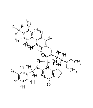 [2H]c1c([2H])c(C([2H])([2H])Sc2nc(=O)c3c(n2C([2H])([2H])C(=O)N(Cc2c([2H])c([2H])c(-c4c([2H])c([2H])c(C(F)(F)F)c(C)c4[2H])c([2H])c2[2H])C([2H])([2H])C([2H])([2H])N(CC)CC)CCC3)c([2H])c([2H])c1F